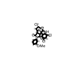 COc1cccc(N2C(=O)C3C4C[C@H](Cl)CN4C4(C(=O)Nc5c(Cl)cc(Cl)cc54)C3C2=O)c1